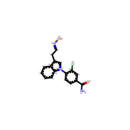 NC(=O)c1ccc(-n2cc(CC=NO)c3ccccc32)c(Cl)c1